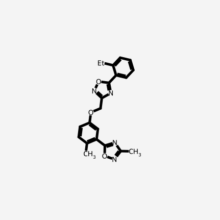 CCc1ccccc1-c1nc(COc2ccc(C)c(-c3nc(C)no3)c2)no1